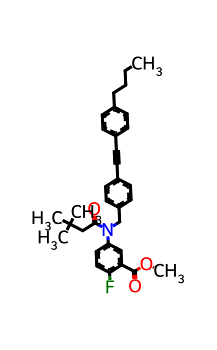 CCCCc1ccc(C#Cc2ccc(CN(C(=O)CC(C)(C)C)c3ccc(F)c(C(=O)OC)c3)cc2)cc1